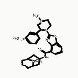 CN1CCN(c2nc3c(C(=O)NC4CC5CCCC(C4)N5C)cccc3o2)C(c2ccccc2)C1.Cl.Cl